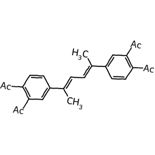 CC(=O)c1ccc(/C(C)=C/C=C(\C)c2ccc(C(C)=O)c(C(C)=O)c2)cc1C(C)=O